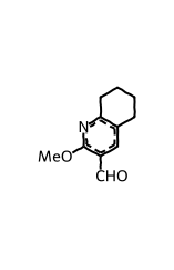 COc1nc2c(cc1C=O)CCCC2